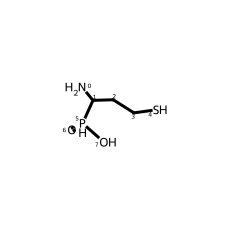 NC(CCS)[PH](=O)O